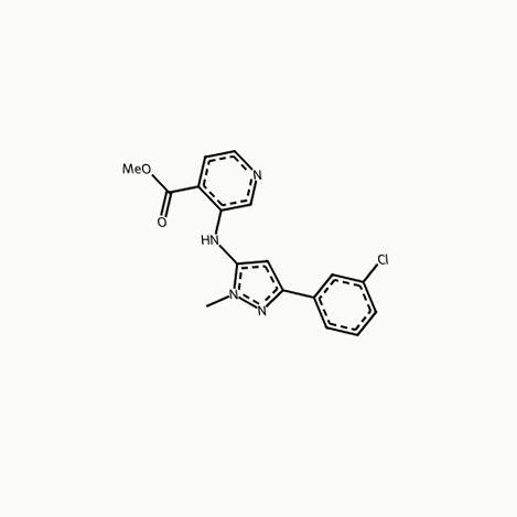 COC(=O)c1ccncc1Nc1cc(-c2cccc(Cl)c2)nn1C